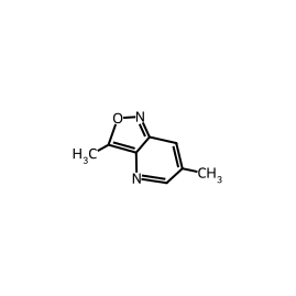 Cc1cnc2c(C)onc2c1